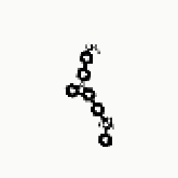 Cc1ccc(-c2ccc(-n3c4ccccc4c4cc(-c5ccc(-c6nnc(-c7ccccc7)o6)cc5)ccc43)cc2)cc1